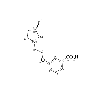 O=C(O)c1cccc(OCCN2CC[C@@H](F)C2)c1